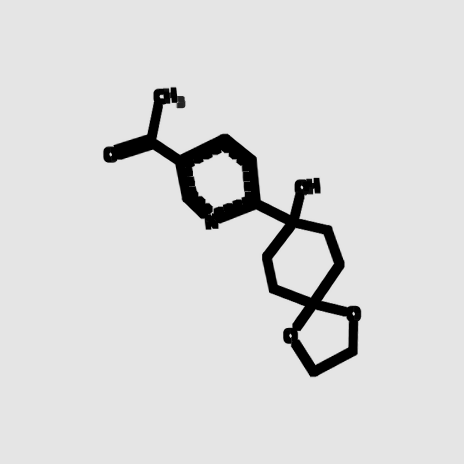 CC(=O)c1ccc(C2(O)CCC3(CC2)OCCO3)nc1